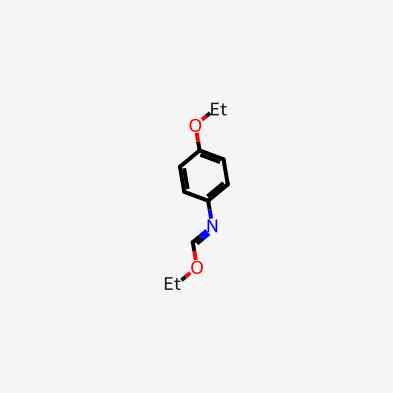 CCOC=Nc1ccc(OCC)cc1